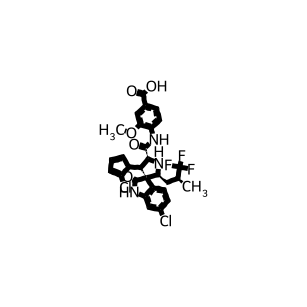 COc1cc(C(=O)O)ccc1NC(=O)[C@@H]1N[C@@H](C[C@H](C)C(F)(F)F)[C@@]2(C(=O)Nc3cc(Cl)ccc32)C1C1C=CC=C1Cl